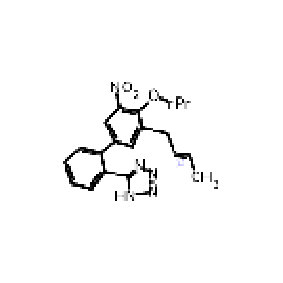 C/C=C/Cc1cc(-c2ccccc2-c2nnn[nH]2)cc([N+](=O)[O-])c1OCCC